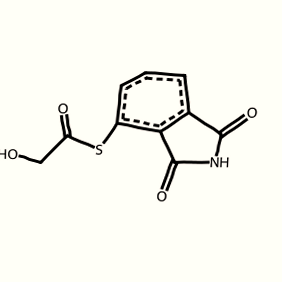 O=C(CO)Sc1cccc2c1C(=O)NC2=O